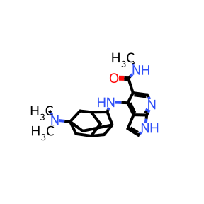 CNC(=O)c1cnc2[nH]ccc2c1NC1C2CC3CC1CC(N(C)C)(C3)C2